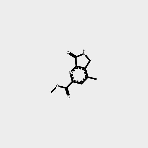 COC(=O)c1cc(C)c2c(n1)C(=O)NC2